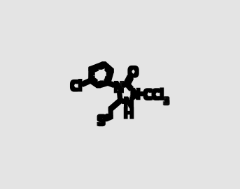 O=C1N(c2cccc(Cl)c2)C(CC=S)NN1C(Cl)(Cl)Cl